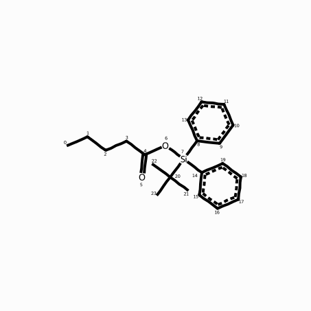 CCCCC(=O)O[Si](c1ccccc1)(c1ccccc1)C(C)(C)C